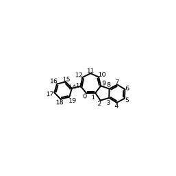 C1=C2Cc3ccccc3C2=CCC=C1c1ccccc1